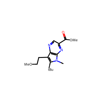 COCCc1c(C(C)(C)C)n(C)c2nc(C(=O)OC)cnc12